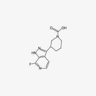 O=C(O)N1CCCC(c2n[nH]c3c(F)nccc23)C1